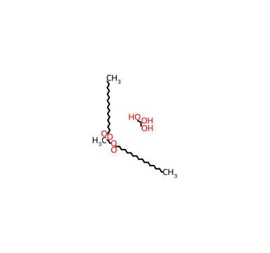 CCCCCCCCCCCCCCCCCC(=O)OCC(C)OC(=O)CCCCCCCCCCCCCCCCC.OCC(O)CO